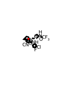 N#Cc1cccc([C@]23CC[C@@H](N(CCN4CCC(NC(=O)C(F)(F)F)C4)C(=O)Nc4ccc(F)c(Cl)c4)CC2C3)c1